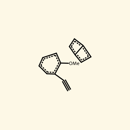 C#Cc1ccccc1OC.c1cc2ccc1-2